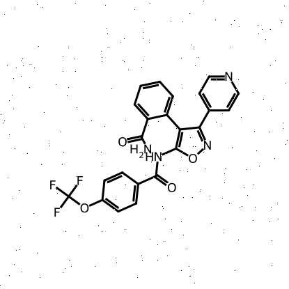 NC(=O)c1ccccc1-c1c(-c2ccncc2)noc1NC(=O)c1ccc(OC(F)(F)F)cc1